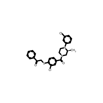 C[C@H]1CN(C(=O)c2ccc(SCC(=O)c3ccccc3)c(Cl)c2)CCN1c1cccc(Cl)c1